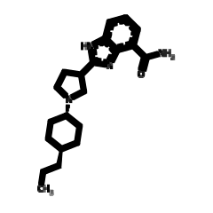 CCC[C@H]1CC[C@H](N2CCC(c3nc4c(C(N)=O)cccc4[nH]3)C2)CC1